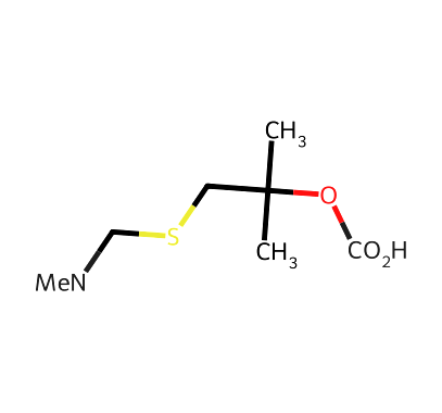 CNCSCC(C)(C)OC(=O)O